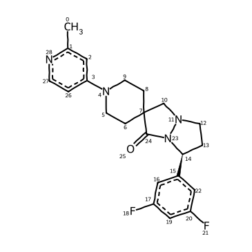 Cc1cc(N2CCC3(CC2)CN2CC[C@@H](c4cc(F)cc(F)c4)N2C3=O)ccn1